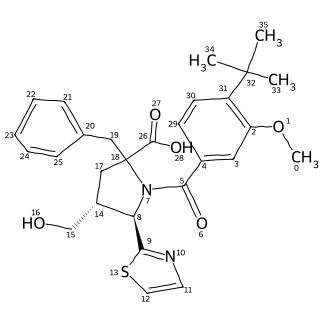 COc1cc(C(=O)N2[C@@H](c3nccs3)[C@H](CO)CC2(Cc2ccccc2)C(=O)O)ccc1C(C)(C)C